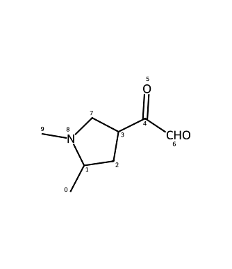 CC1CC(C(=O)C=O)CN1C